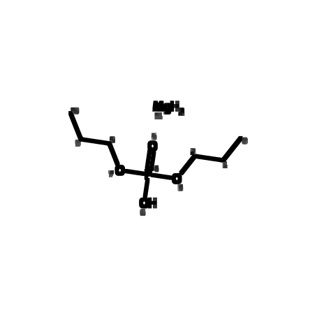 CCCOP(=O)(O)OCCC.[MgH2]